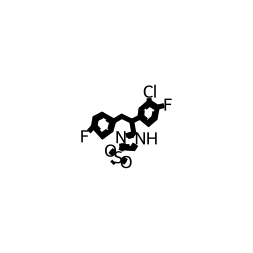 CS(=O)(=O)c1c[nH]c(C(Cc2ccc(F)cc2)c2ccc(F)c(Cl)c2)n1